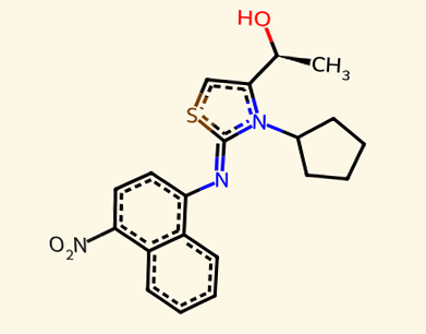 C[C@H](O)c1csc(=Nc2ccc([N+](=O)[O-])c3ccccc23)n1C1CCCC1